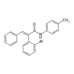 Cc1ccc(NC(=O)C(=Cc2ccccc2)c2ccccc2Br)cc1